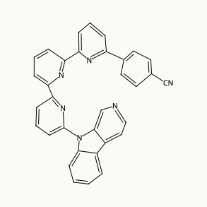 N#Cc1ccc(-c2cccc(-c3cccc(-c4cccc(-n5c6ccccc6c6ccncc65)n4)n3)n2)cc1